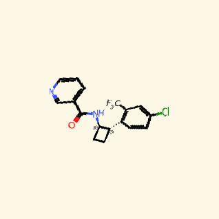 O=C(N[C@@H]1CC[C@H]1c1ccc(Cl)cc1C(F)(F)F)c1cccnc1